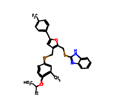 CCC(Oc1ccc(SCc2cc(-c3ccc(C(F)(F)F)cc3)oc2CSc2nc3ccccc3[nH]2)cc1C)C(=O)O